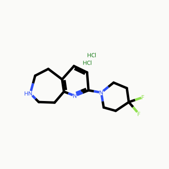 Cl.Cl.FC1(F)CCN(c2ccc3c(n2)CCNCC3)CC1